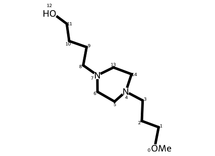 COCCCN1CCN(CCCCO)CC1